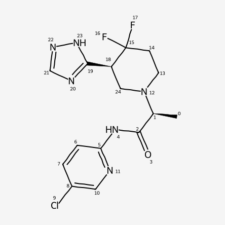 C[C@@H](C(=O)Nc1ccc(Cl)cn1)N1CCC(F)(F)[C@H](c2ncn[nH]2)C1